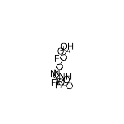 C[C@@H](OC(=O)Nc1c(C(F)(F)F)cnn1-c1ccc(-c2ccc(C3(C(=O)O)CC3)cc2F)cc1)c1ccccc1